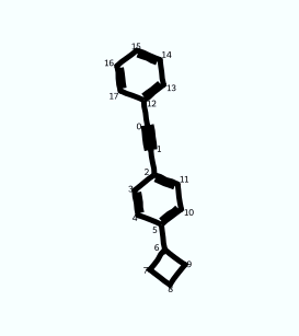 C(#Cc1ccc([C]2CCC2)cc1)c1ccccc1